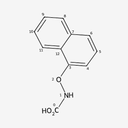 O=C(O)NOc1cccc2ccccc12